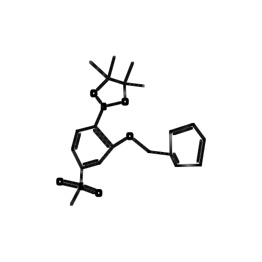 CC1(C)OB(c2ccc(S(C)(=O)=O)cc2OCc2ccccc2)OC1(C)C